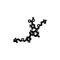 COC(=O)C1=NSC(N(COCC[Si](C)(C)C)c2nc(C)cn3c(-c4cnn(COCC[Si](C)(C)C)c4)cnc23)C1